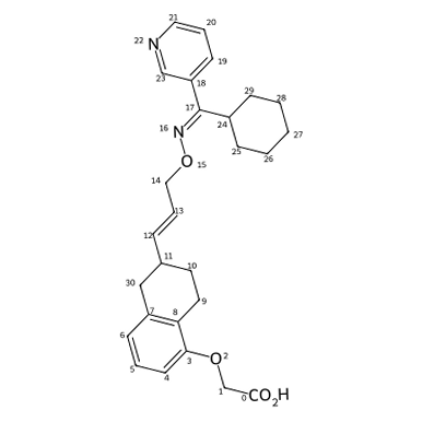 O=C(O)COc1cccc2c1CCC(C=CCON=C(c1cccnc1)C1CCCCC1)C2